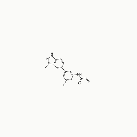 C=CC(=O)Nc1cc(F)cc(-c2ccc3[nH]nc(C)c3c2)c1